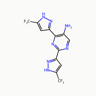 Nc1cnc(-c2cc(C(F)(F)F)[nH]n2)nc1-c1cc(C(F)(F)F)[nH]n1